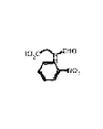 O=CNCC(=O)O.O=[N+]([O-])c1ccccc1